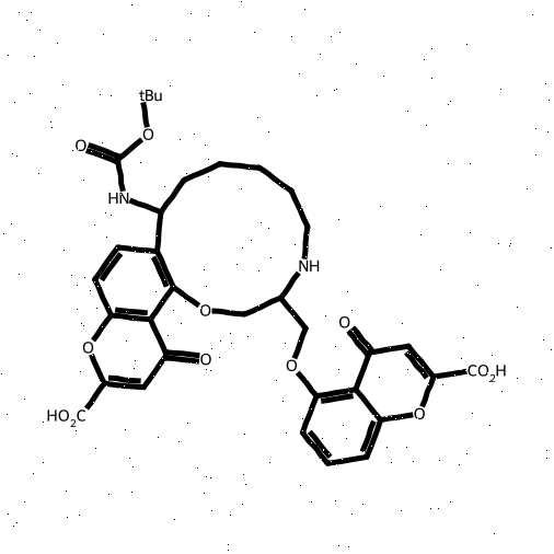 CC(C)(C)OC(=O)NC1CCCCCNC(COc2cccc3oc(C(=O)O)cc(=O)c23)COc2c1ccc1oc(C(=O)O)cc(=O)c21